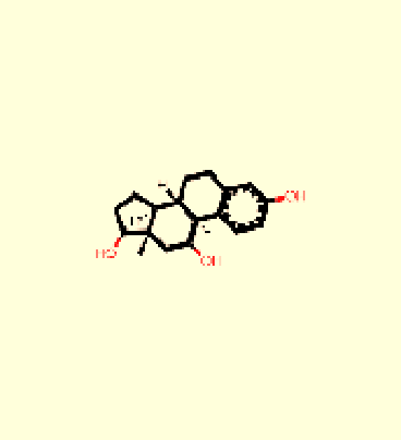 C[C@]12C[C@H](O)[C@@H]3c4ccc(O)cc4CC[C@H]3[C@@H]1CC[C@@H]2O